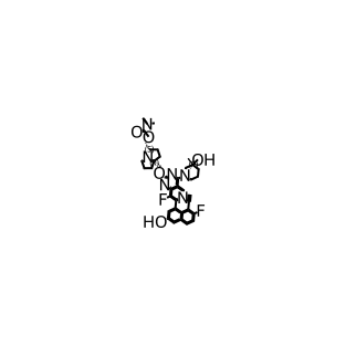 C#Cc1c(F)ccc2cc(O)cc(-c3ncc4c(N5CCC[C@@](C)(O)C5)nc(OC[C@]56CCCN5[C@H](COC(=O)N(C)C)CC6)nc4c3F)c12